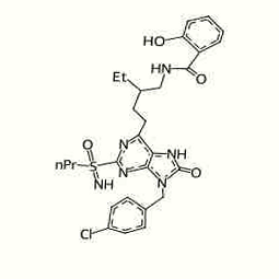 CCCS(=N)(=O)c1nc(CCC(CC)CNC(=O)c2ccccc2O)c2[nH]c(=O)n(Cc3ccc(Cl)cc3)c2n1